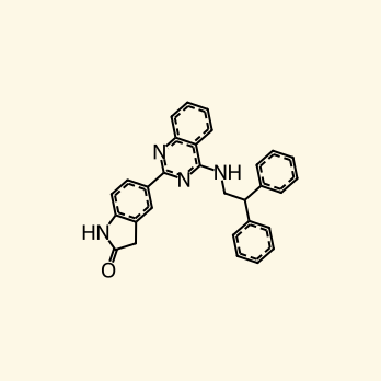 O=C1Cc2cc(-c3nc(NCC(c4ccccc4)c4ccccc4)c4ccccc4n3)ccc2N1